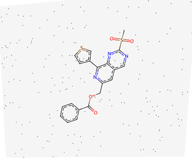 CS(=O)(=O)c1ncc2cc(COC(=O)c3ccccc3)nc(-c3ccsc3)c2n1